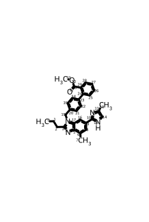 CCCc1nc2c(C)cc(-c3nc(C)c[nH]3)cc2n1Cc1ccc(-c2ccccc2C(=O)OC)cc1